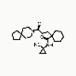 N#CC1(NC(=O)C2(CCC(=O)N3CCC4(CCCC4)CC3)CCCCC2)CC1